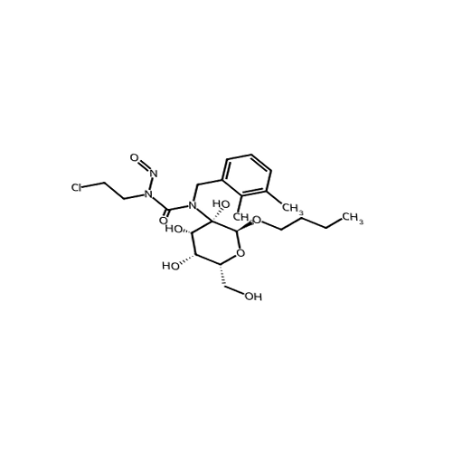 CCCCO[C@H]1O[C@H](CO)[C@H](O)[C@H](O)[C@@]1(O)N(Cc1cccc(C)c1C)C(=O)N(CCCl)N=O